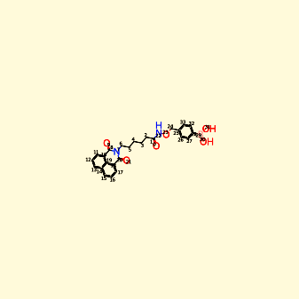 O=C(CCCCCN1C(=O)c2cccc3cccc(c23)C1=O)NOCc1ccc(B(O)O)cc1